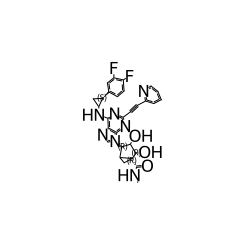 CNC(=O)[C@]12CC1[C@@H](n1cnc3c(NC4C[C@H]4c4ccc(F)c(F)c4)nc(C#Cc4ccccn4)nc31)C(O)[C@@H]2O